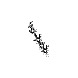 CCCOc1ccc(C#Cc2c(C)cc(-c3ccc(-c4ccc(C)cc4F)cc3)cc2F)cc1